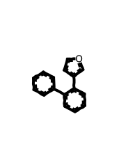 c1ccc(-c2ccccc2-c2ccoc2)cc1